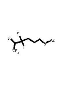 CC(=O)SCCCC(F)(F)C(F)C(F)(F)F